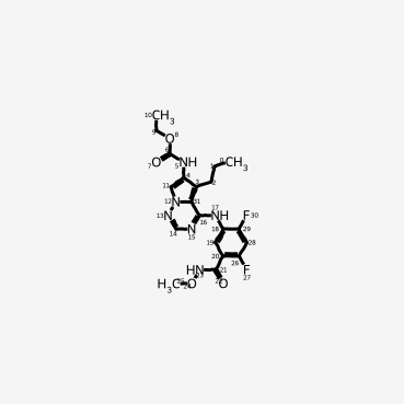 CCCc1c(NC(=O)OCC)cn2ncnc(Nc3cc(C(=O)NOC)c(F)cc3F)c12